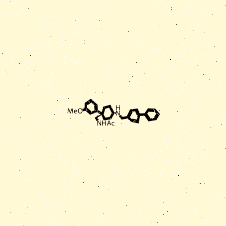 COc1cccc([C@]2(CNC(C)=O)CC[C@@H](NCc3ccc(-c4ccccc4)cc3)CC2)c1